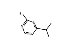 CC(C)c1ccnc(Br)n1